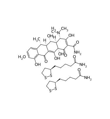 C[C@H]1c2cccc(O)c2C(=O)C2=C(O)[C@]3(O)C(=O)C(C(N)=O)=C(O)[C@@H](N(C)C)[C@@H]3[C@@H](O)[C@@H]21.NC(=O)CCCC[C@@H]1CCSS1.NC(=O)CCCC[C@@H]1CCSS1.O